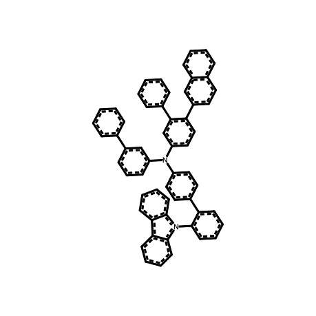 c1ccc(-c2cccc(N(c3ccc(-c4ccccc4-n4c5ccccc5c5ccccc54)cc3)c3ccc(-c4ccc5ccccc5c4)c(-c4ccccc4)c3)c2)cc1